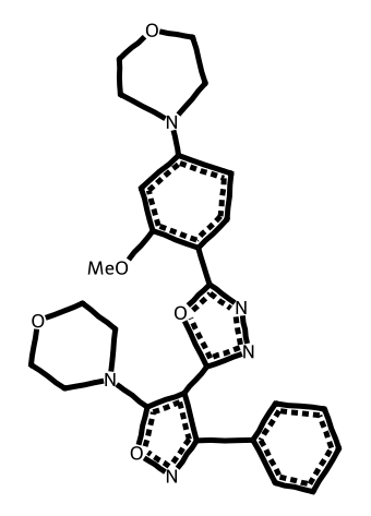 COc1cc(N2CCOCC2)ccc1-c1nnc(-c2c(-c3ccccc3)noc2N2CCOCC2)o1